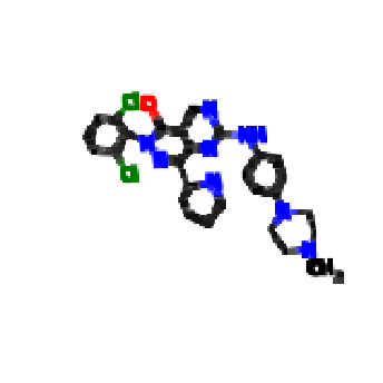 CN1CCN(c2ccc(Nc3ncc4c(=O)n(-c5c(Cl)cccc5Cl)nc(-c5ccccn5)c4n3)cc2)CC1